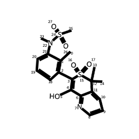 Cc1c(C2=C(O)c3ncccc3C(C)(C)S2(=O)=O)cccc1N(C)S(C)(=O)=O